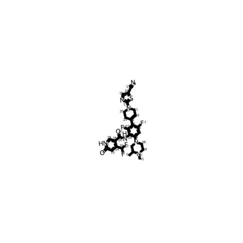 CC1CN(c2cc(F)c(C3=CCN(c4ncc(C#N)s4)CC3)c(F)c2NC(=O)c2c[nH]c(=O)cc2C(F)F)CCN1C